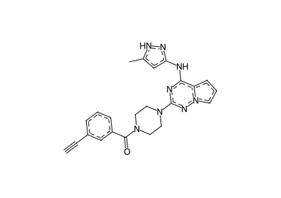 C#Cc1cccc(C(=O)N2CCN(c3nc(Nc4cc(C)[nH]n4)c4cccn4n3)CC2)c1